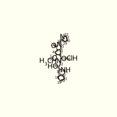 CCOc1cc2c(cc1C(=O)NCC(O)C1Cc3ccccc3CN1)CN(Cc1ccccn1)C2=O.Cl